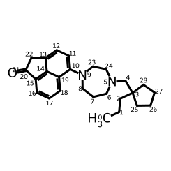 CCCC1(CN2CCCN(c3ccc4c5c(cccc35)C(=O)C4)CC2)CCCC1